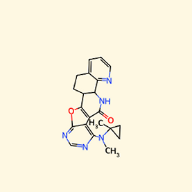 CN(c1ncnc2oc3c(c12)C(=O)NC1c2ncccc2CCC31)C1(C)CC1